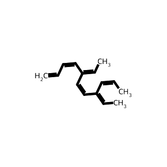 C=C\C=C/C(/C=C\C(\C=C/C)=C\C)=C\C